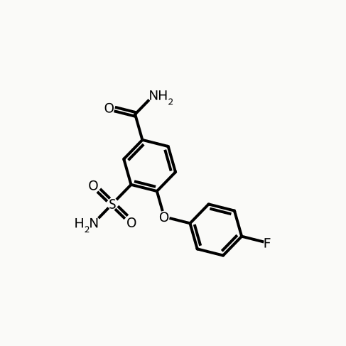 NC(=O)c1ccc(Oc2ccc(F)cc2)c(S(N)(=O)=O)c1